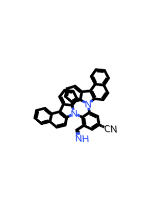 N#Cc1cc(C=N)c(-n2c3ccccc3c3c4ccccc4ccc32)c(-n2c3ccccc3c3c4ccccc4ccc32)c1